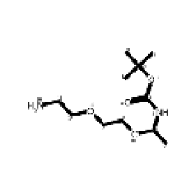 CC(NC(=O)OC(C)(C)C)OCCOCCN